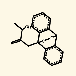 C=C(CC12CCC(c3ccccc31)c1ccccc12)C(C)O